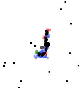 CCn1c(CNC(=O)c2nc(Cl)c(N)nc2N)nc2ccc(CCC(=O)NCCCO)cc21